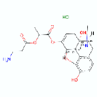 CC(OC(=O)CCN)C(=O)OC1=CC[C@@]2(O)[C@H]3Cc4ccc(O)c5c4[C@@]2(CCN3C)[C@H]1O5.Cl